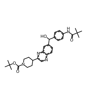 CC(C)(C)OC(=O)N1CCC(c2cnc3ccc(C(O)c4ccc(NC(=O)C(C)(C)C)cc4)cc3n2)CC1